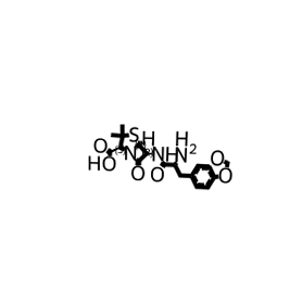 CC1(C)S[C@@H]2[C@H](NC(=O)C(N)Cc3ccc4c(c3)OCO4)C(=O)N2[C@H]1C(=O)O